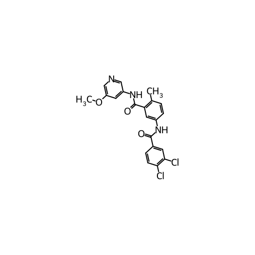 COc1cncc(NC(=O)c2cc(NC(=O)c3ccc(Cl)c(Cl)c3)ccc2C)c1